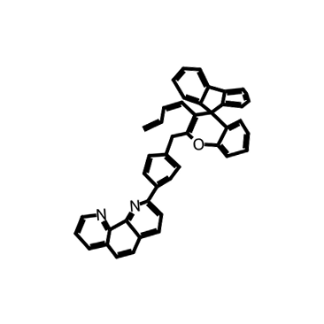 C=C/C=C\C1=C(Cc2ccc(-c3ccc4ccc5cccnc5c4n3)cc2)Oc2ccccc2C12c1ccccc1-c1ccccc12